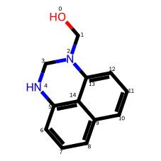 OCN1CNc2cccc3cccc1c23